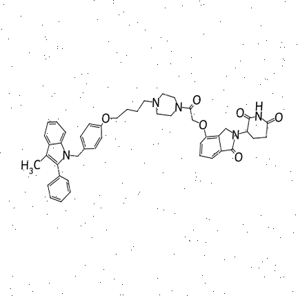 Cc1c(-c2ccccc2)n(Cc2ccc(OCCCCN3CCN(C(=O)COc4cccc5c4CN(C4CCC(=O)NC4=O)C5=O)CC3)cc2)c2ccccc12